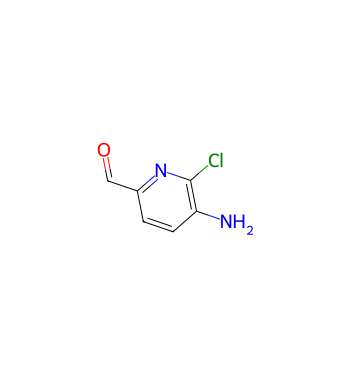 Nc1ccc(C=O)nc1Cl